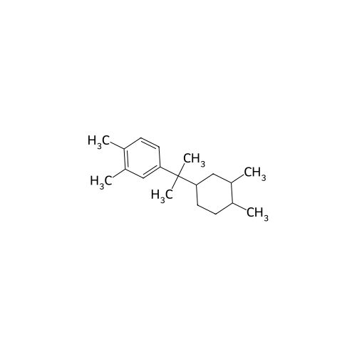 Cc1ccc(C(C)(C)C2CCC(C)C(C)C2)cc1C